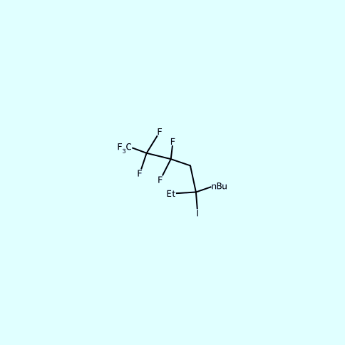 CCCCC(I)(CC)CC(F)(F)C(F)(F)C(F)(F)F